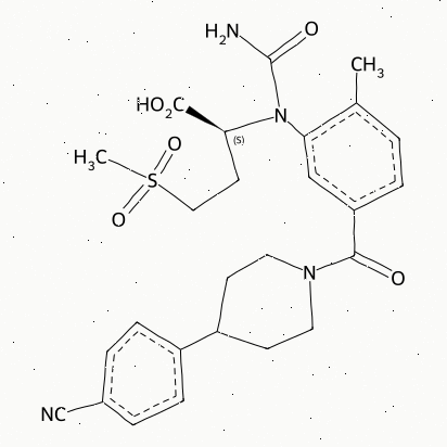 Cc1ccc(C(=O)N2CCC(c3ccc(C#N)cc3)CC2)cc1N(C(N)=O)[C@@H](CCS(C)(=O)=O)C(=O)O